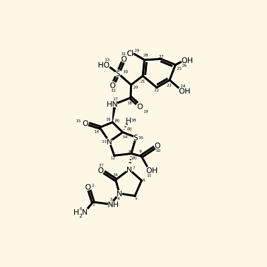 NC(=O)NN1CCN([C@]2(C(=O)O)CN3C(=O)[C@@H](NC(=O)C(c4cc(O)c(O)cc4Cl)S(=O)(=O)O)[C@H]3S2)C1=O